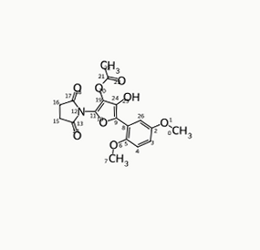 COc1ccc(OC)c(-c2oc(N3C(=O)CCC3=O)c(OC(C)=O)c2O)c1